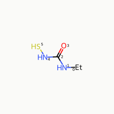 CCNC(=O)NS